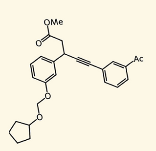 COC(=O)CC(C#Cc1cccc(C(C)=O)c1)c1cccc(OCOC2CCCC2)c1